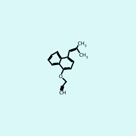 C#CCOc1ccc(C=C(C)C)c2ccccc12